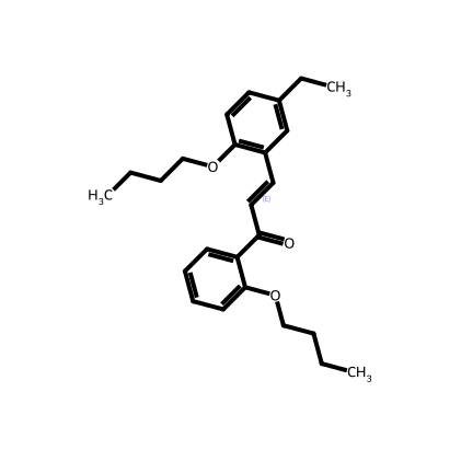 CCCCOc1ccc(CC)cc1/C=C/C(=O)c1ccccc1OCCCC